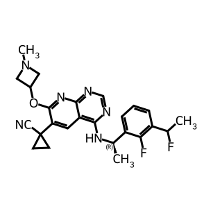 CC(F)c1cccc([C@@H](C)Nc2ncnc3nc(OC4CN(C)C4)c(C4(C#N)CC4)cc23)c1F